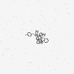 Cc1ccc(CCNC[C@@H](O)[C@H](Cc2ccccc2)N(C(=O)O)C(C)(C)C)cc1